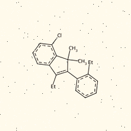 CCC1=C(c2ccccc2CC)C(C)(C)c2c(Cl)cccc21